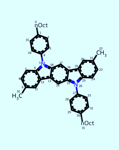 CCCCCCCCc1ccc(-n2c3ccc(C)cc3c3cc4c(cc32)c2cc(C)ccc2n4-c2ccc(CCCCCCCC)cc2)cc1